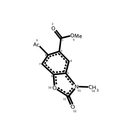 COC(=O)c1cc2c(cc1C(C)=O)oc(=O)n2C